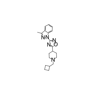 Cc1nn(-c2noc(C3CCN(CC4CCC4)CC3)n2)c2ccccc12